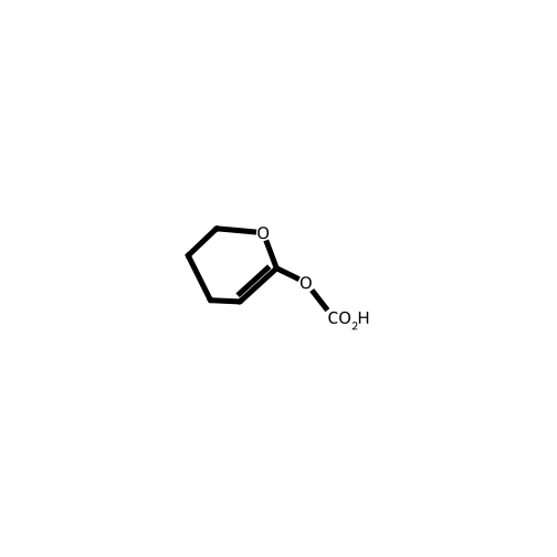 O=C(O)OC1=CCCCO1